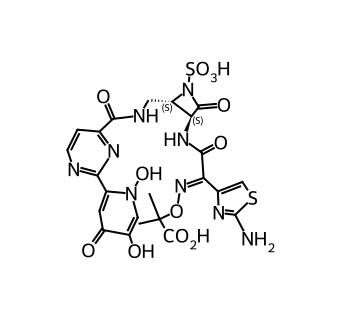 CC(C)(ON=C(C(=O)N[C@@H]1C(=O)N(S(=O)(=O)O)[C@H]1CNC(=O)c1ccnc(-c2cc(=O)c(O)cn2O)n1)c1csc(N)n1)C(=O)O